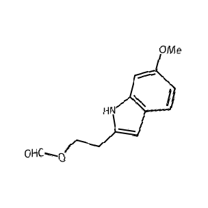 COc1ccc2cc(CCOC=O)[nH]c2c1